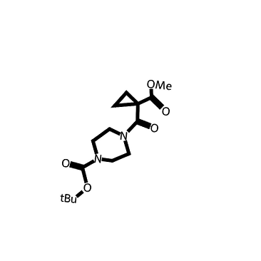 COC(=O)C1(C(=O)N2CCN(C(=O)OC(C)(C)C)CC2)CC1